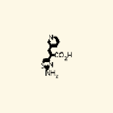 Nc1nc(/C(=C/c2cccnc2)C(=O)O)cs1